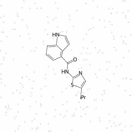 CC(C)c1cnc(NC(=O)c2cccc3[nH]ccc23)s1